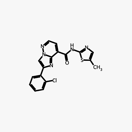 Cc1cnc(NC(=O)c2ccnn3cc(-c4ccccc4Cl)nc23)s1